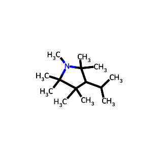 CC(C)C1C(C)(C)N(C)C(C)(C)C1(C)C